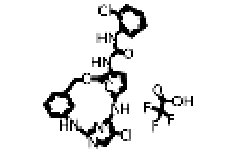 O=C(Nc1ccccc1Cl)Nc1ccc2cc1CCc1cccc(c1)Nc1ncc(Cl)c(n1)N2.O=C(O)C(F)(F)F